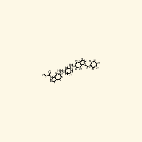 C=CC(=O)n1ncc2ccc(Nc3ncnc(Nc4ccc5c(cnn5Cc5ccccc5)c4)n3)cc21